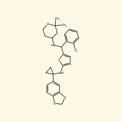 CC1(C)CC(NC(c2cnc(NC3(c4ccc5c(c4)OCO5)CC3)s2)c2ccccc2Cl)CCO1